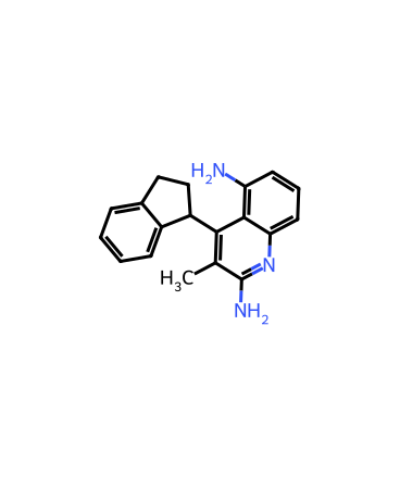 Cc1c(N)nc2cccc(N)c2c1C1CCc2ccccc21